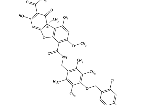 COc1cc(O)c2c(c1C(=O)NCc1c(C)c(C)c(OCc3ccc(Cl)cc3Cl)c(C)c1C)OC1=CC(O)=C(C(C)=O)C(=O)[C@]12C